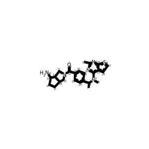 Cc1nc(N(C)C(C)c2ccc(C(=O)N3CC4CCC(N)C4C3)cc2)c2ccsc2n1